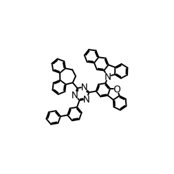 c1ccc(-c2cccc(-c3nc(-c4cc(-n5c6ccccc6c6cc7ccccc7cc65)c5oc6ccccc6c5c4)nc(C4CCc5ccccc5-c5ccccc54)n3)c2)cc1